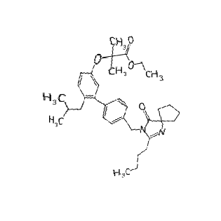 CCCCC1=NC2(CCCC2)C(=O)N1Cc1ccc(-c2cc(OC(C)(C)C(=O)OCC)ccc2CC(C)C)cc1